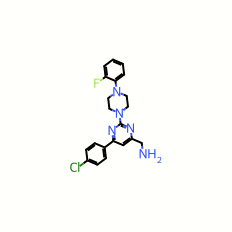 NCc1cc(-c2ccc(Cl)cc2)nc(N2CCN(c3ccccc3F)CC2)n1